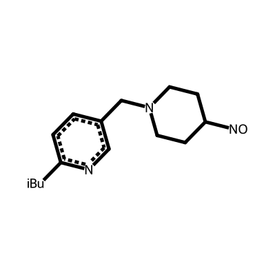 CCC(C)c1ccc(CN2CCC(N=O)CC2)cn1